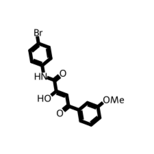 COc1cccc(C(=O)/C=C(\O)C(=O)Nc2ccc(Br)cc2)c1